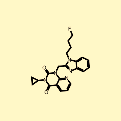 O=c1c2cccnc2n(Cc2nc3ccccc3n2CCCCF)c(=O)n1C1CC1